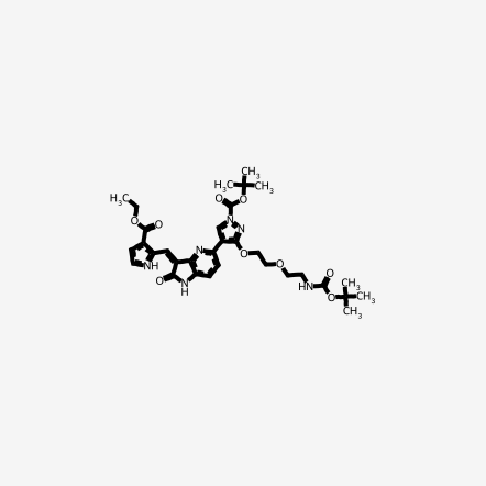 CCOC(=O)c1cc[nH]c1/C=C1\C(=O)Nc2ccc(-c3cn(C(=O)OC(C)(C)C)nc3OCCOCCNC(=O)OC(C)(C)C)nc21